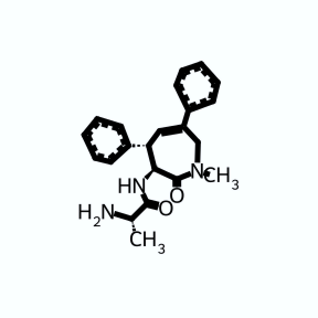 C[C@H](N)C(=O)N[C@@H]1C(=O)N(C)CC(c2ccccc2)=C[C@H]1c1ccccc1